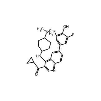 CN(C)C1CCC(Nc2c(C(=O)C3CC3)cnc3ccc(-c4cc(F)c(O)c(F)c4)cc23)CC1